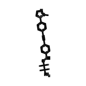 Cn1nccc1-c1ccc(C#Cc2ccc(BOC(C)(C)C(C)(C)P)cc2)cc1